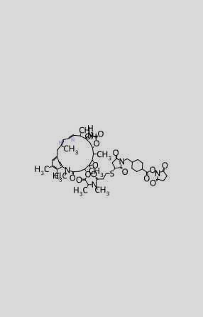 C/C1=C\C=C\C(C)C2(O)CC(OC(=O)N2)C(C)C2OC2(C)C(OC(=O)C(C)N(C)C(=O)CCSC2CC(=O)N(CC3CCC(C(=O)ON4C(=O)CCC4=O)CC3)C2=O)CC(=O)N(C)c2cc(cc(C)c2Cl)C1